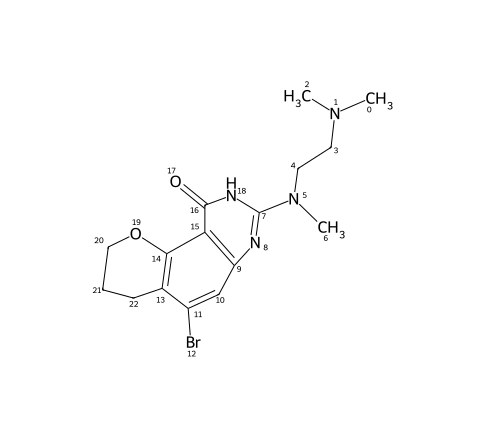 CN(C)CCN(C)c1nc2cc(Br)c3c(c2c(=O)[nH]1)OCCC3